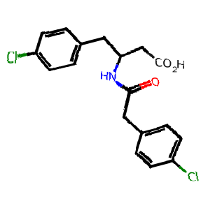 O=C(O)CC(Cc1ccc(Cl)cc1)NC(=O)Cc1ccc(Cl)cc1